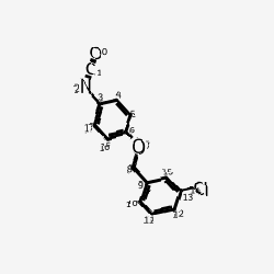 O=C=Nc1ccc(OCc2cccc(Cl)c2)cc1